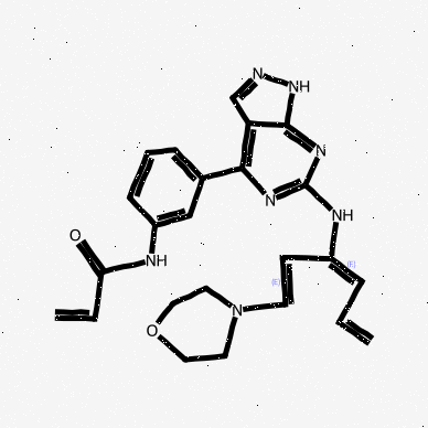 C=C/C=C(\C=C\N1CCOCC1)Nc1nc(-c2cccc(NC(=O)C=C)c2)c2cn[nH]c2n1